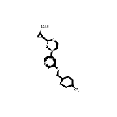 O=C(O)[C@H]1C[C@@H]1[C@H]1CN(c2cncc(OCC3CCC(C(F)(F)F)CC3)c2)CCO1